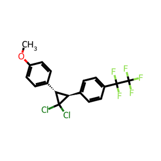 COc1ccc([C@@H]2[C@@H](c3ccc(C(F)(F)C(F)(F)F)cc3)C2(Cl)Cl)cc1